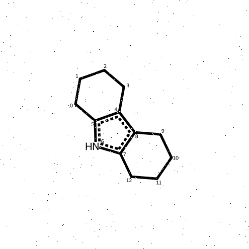 [CH]1CCCc2c1[nH]c1c2CCCC1